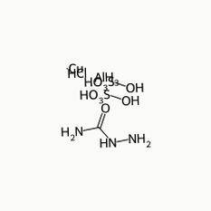 Cl.NNC(N)=O.O=S(=O)(O)O.O=S(=O)(O)O.[AlH3].[Cu]